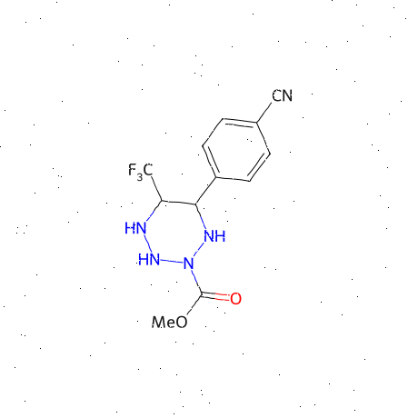 COC(=O)N1NNC(C(F)(F)F)C(c2ccc(C#N)cc2)N1